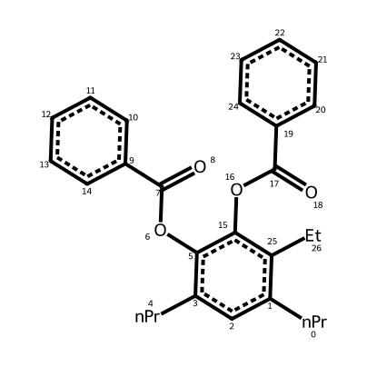 CCCc1cc(CCC)c(OC(=O)c2ccccc2)c(OC(=O)c2ccccc2)c1CC